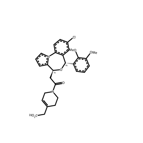 COc1cccc([C@@H]2O[C@@H](CC(=O)N3CC=C(CC(=O)O)CC3)c3cccn3-c3ccc(Cl)cc32)c1OC